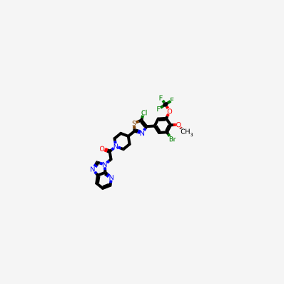 COc1c(Br)cc(-c2nc(C3CCN(C(=O)Cn4cnc5cccnc54)CC3)sc2Cl)cc1OC(F)(F)F